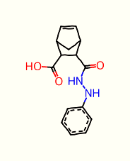 O=C(O)C1C2C=CC(C2)C1C(=O)NNc1ccccc1